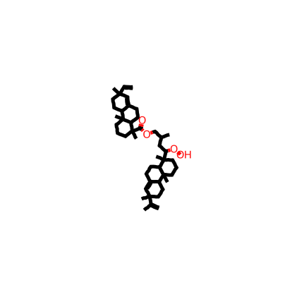 C=CC1(C)C=C2CCC3C(C)(C(=O)OCC(C)CC(OO)C4(C)CCCC5(C)C6CCC(C)(C(=C)C)C=C6CCC45)CCCC3(C)C2CC1